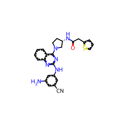 N#Cc1cc(N)cc(Nc2nc(N3CC[C@H](NC(=O)Cc4cccs4)C3)c3ccccc3n2)c1